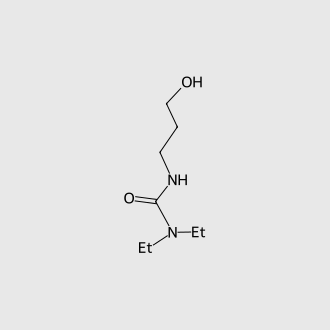 CCN(CC)C(=O)NCCCO